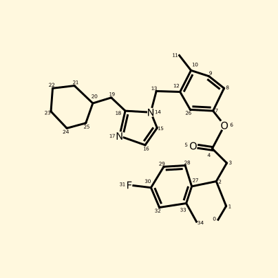 CCC(CC(=O)Oc1ccc(C)c(Cn2ccnc2CC2CCCCC2)c1)c1ccc(F)cc1C